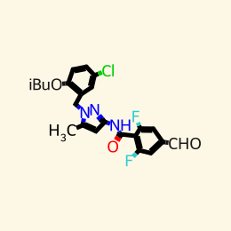 Cc1cc(NC(=O)c2c(F)cc(C=O)cc2F)nn1Cc1cc(Cl)ccc1OCC(C)C